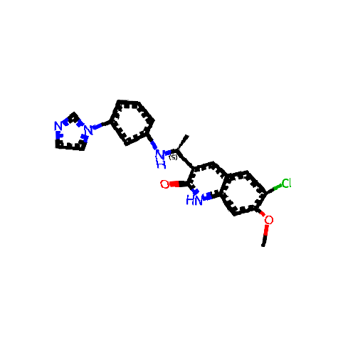 COc1cc2[nH]c(=O)c([C@H](C)Nc3cccc(-n4ccnc4)c3)cc2cc1Cl